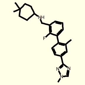 Cc1cc(-c2ncn(C)n2)ccc1-c1cccc(CNC2CCC(C)(C)CC2)c1F